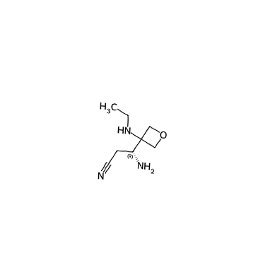 CCNC1([C@H](N)CC#N)COC1